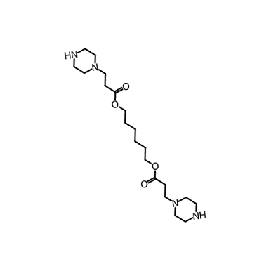 O=C(CCN1CCNCC1)OCCCCCCOC(=O)CCN1CCNCC1